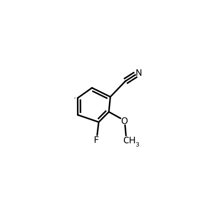 COc1c(F)c[c]cc1C#N